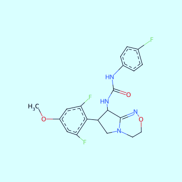 COc1cc(F)c(C2CN3CCON=C3C2NC(=O)Nc2ccc(F)cc2)c(F)c1